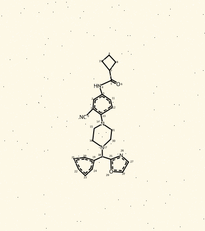 N#Cc1cc(NC(=O)C2CCC2)ccc1N1CCN(C(c2ccccc2)c2ncco2)CC1